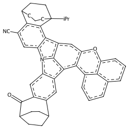 CC(C)C12CCCC(CC1)c1c(C#N)cc3c(c12)c1cc2oc4cccc5cccc(c54)c2c2c4cc5c(cc4n3c12)C(=O)C1CCC5CC1